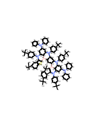 CC(C)(C)c1ccc(N2C3=C(B4c5cc6c(cc5N(c5ccc(C(C)(C)C)cc5)c5cc(N(c7ccccc7)c7ccccc7)cc2c54)N(c2ccc(C(C)(C)C)cc2)c2cc(N(c4ccccc4)c4ccccc4)cc4c2B6c2sc5ccc(C(C)(C)C)cc5c2N4c2ccc(C(C)(C)C)cc2)C(C)(C)c2ccc(C(C)(C)C)cc23)cc1